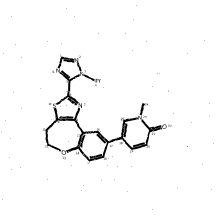 CC(C)n1ncnc1-c1nc2c(s1)CCOc1ccc(-c3ccc(=O)n(C)c3)cc1-2